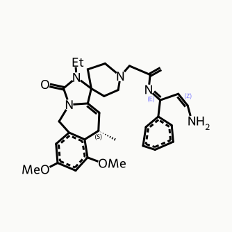 C=C(CN1CCC2(CC1)C1=C[C@H](C)c3c(cc(OC)cc3OC)CN1C(=O)N2CC)/N=C(\C=C/N)c1ccccc1